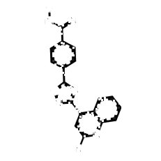 N=C(NO)c1ccc(-c2nc(-c3cc(N)nc4ccccc34)no2)cc1